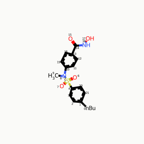 CCCCc1ccc(S(=O)(=O)N(C)c2ccc(C(=O)NO)cc2)cc1